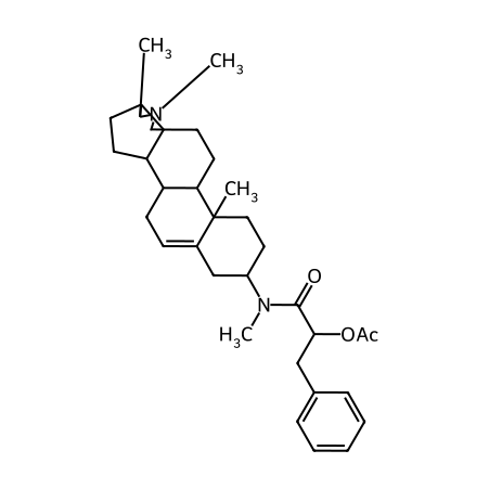 CC(=O)OC(Cc1ccccc1)C(=O)N(C)C1CCC2(C)C(=CCC3C2CCC24CN(C)C(C)C2CCC34)C1